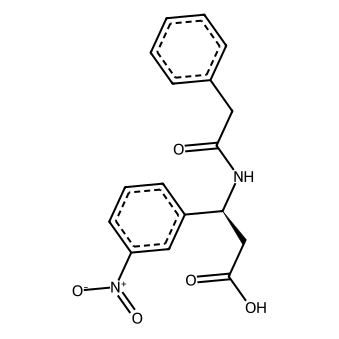 O=C(O)C[C@H](NC(=O)Cc1ccccc1)c1cccc([N+](=O)[O-])c1